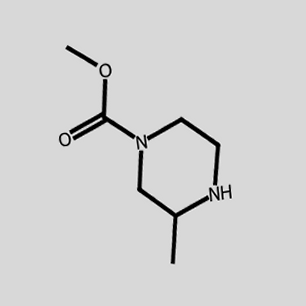 COC(=O)N1CCNC(C)C1